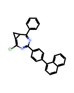 ClC1=C2CC2C(c2ccccc2)=NC(c2ccc(-c3cccc4ccccc34)cc2)=N1